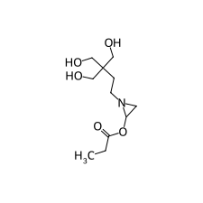 CCC(=O)OC1CN1CCC(CO)(CO)CO